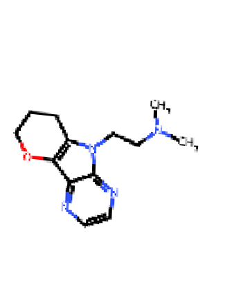 CN(C)CCn1c2c(c3nccnc31)OCCC2